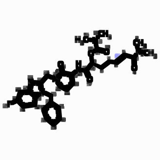 CN(C)C(=O)/C=C/CC[C@H](OC(=O)N(C)C)C(=O)Nc1cccn(Cc2nc3cc(F)ccc3n2Cc2ccccc2)c1=O